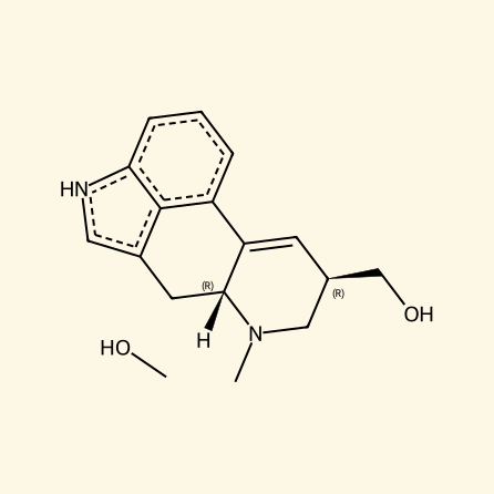 CN1C[C@H](CO)C=C2c3cccc4[nH]cc(c34)C[C@H]21.CO